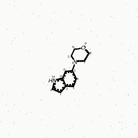 c1cc2ccc(N3CCOCC3)cc2[nH]1